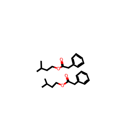 CC(C)CCOC(=O)Cc1ccccc1.CC(C)CCOC(=O)Cc1ccccc1